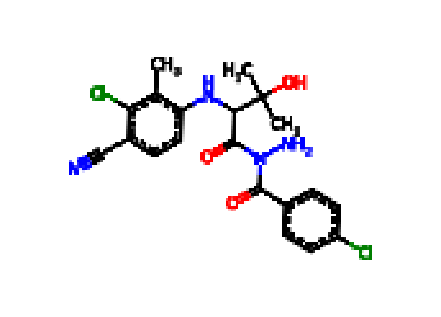 Cc1c(NC(C(=O)N(N)C(=O)c2ccc(Cl)cc2)C(C)(C)O)ccc(C#N)c1Cl